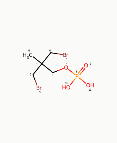 CC(CBr)(CBr)COP(=O)(O)O